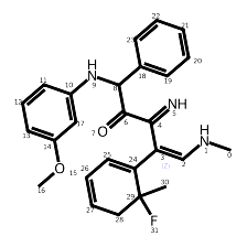 CN/C=C(\C(=N)C(=O)C(Nc1cccc(OC)c1)c1ccccc1)C1=CC=CCC1(C)F